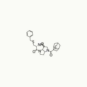 N[C@@H](CSCc1ccccc1)C(=O)N1CCC2C1C(=O)CN2C(=O)C12CC3CC(CC1C3)C2